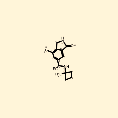 CC[C@H](NC1(C)CCC1)c1cc2c(c(C(F)(F)F)c1)CNC2=O